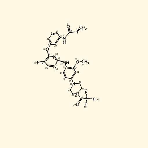 C=CC(=O)Nc1cccc(Oc2nc(Nc3ccc(N4CCN(C(=O)C(F)(F)F)CC4)cc3OC)ncc2I)c1